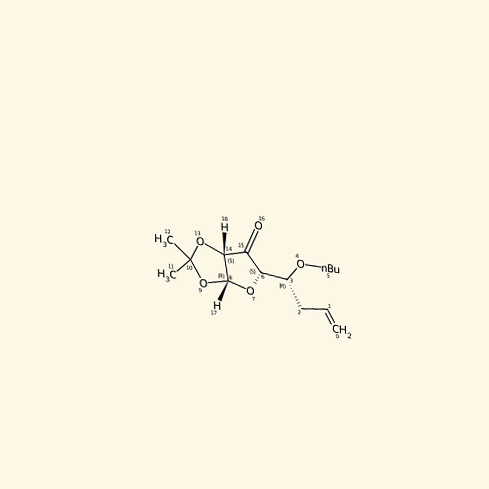 C=CC[C@@H](OCCCC)[C@@H]1O[C@@H]2OC(C)(C)O[C@@H]2C1=O